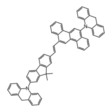 CC1(C)c2cc(/C=C/c3cc4c5ccccc5c(N5c6ccccc6Cc6ccccc65)cc4c4ccccc34)ccc2-c2ccc(N3c4ccccc4Cc4ccccc43)cc21